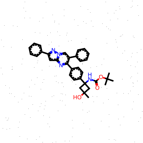 CC1(O)CC(NC(=O)OC(C)(C)C)(c2ccc(-c3nc4cc(-c5ccccc5)nn4cc3-c3ccccc3)cc2)C1